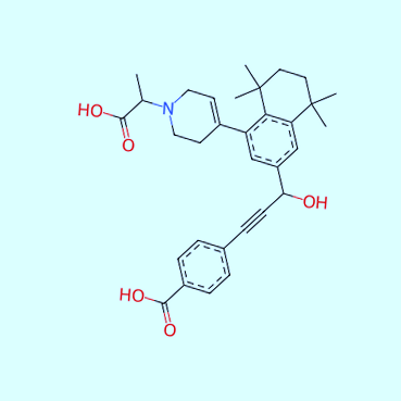 CC(C(=O)O)N1CC=C(c2cc(C(O)C#Cc3ccc(C(=O)O)cc3)cc3c2C(C)(C)CCC3(C)C)CC1